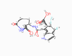 O=C1CCC(NC(=O)c2c(C(=O)O)c(F)c(F)c3cc[nH]c23)C(=O)N1